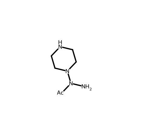 CC(=O)N(N)N1CCNCC1